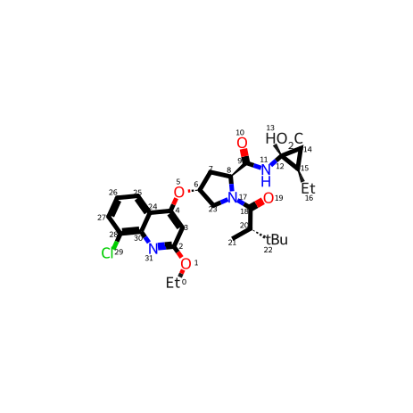 CCOc1cc(O[C@@H]2C[C@@H](C(=O)N[C@]3(C(=O)O)C[C@H]3CC)N(C(=O)[C@@H](C)C(C)(C)C)C2)c2cccc(Cl)c2n1